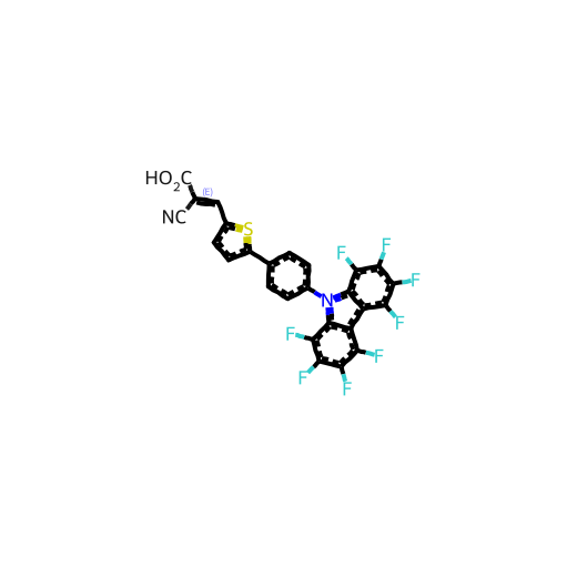 N#C/C(=C\c1ccc(-c2ccc(-n3c4c(F)c(F)c(F)c(F)c4c4c(F)c(F)c(F)c(F)c43)cc2)s1)C(=O)O